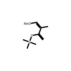 C=C(O[Si](C)(C)C)C(C)=COC